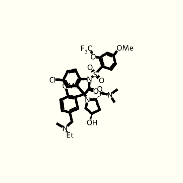 CCN(C)Cc1ccc(OC)c(C2(N3C[C@H](O)C[C@H]3C(=O)N(C)C)C(=O)N(S(=O)(=O)c3ccc(OC)cc3OC(F)(F)F)c3ccc(Cl)cc32)c1